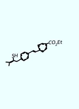 CCOC(=O)c1ccc(C=Cc2ccc(CC(S)=C(C)C)cc2)cc1